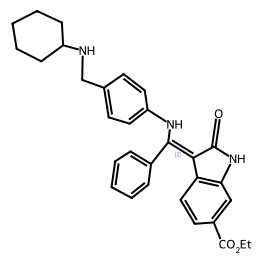 CCOC(=O)c1ccc2c(c1)NC(=O)/C2=C(\Nc1ccc(CNC2CCCCC2)cc1)c1ccccc1